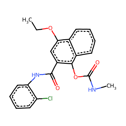 CCOc1cc(C(=O)Nc2ccccc2Cl)c(OC(=O)NC)c2ccccc12